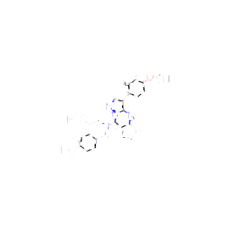 CCCN(Cc1ccc(C)cc1)c1c2c(nc3c(-c4ccc(OC)cc4C)cnn13)CCC2